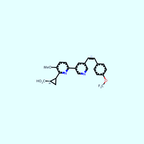 COc1ccc(-c2cncc(/C=C\c3ccc(OC(F)(F)F)cc3)c2)nc1C1C[C@H]1C(=O)O